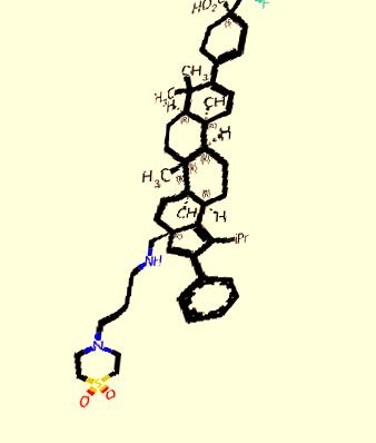 CC(C)C1=C2[C@@H]3CC[C@@H]4[C@]5(C)CC=C(C6=CC[C@](CF)(C(=O)O)CC6)C(C)(C)[C@@H]5CC[C@@]4(C)[C@]3(C)CC[C@@]2(CNCCCN2CCS(=O)(=O)CC2)C=C1c1ccccc1